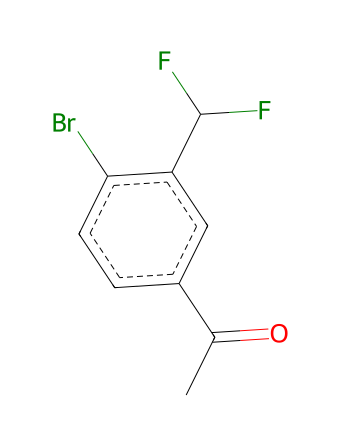 CC(=O)c1ccc(Br)c(C(F)F)c1